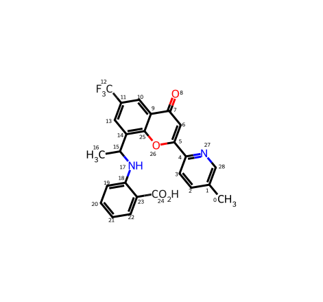 Cc1ccc(-c2cc(=O)c3cc(C(F)(F)F)cc(C(C)Nc4ccccc4C(=O)O)c3o2)nc1